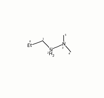 CCC[SiH2]N(C)C